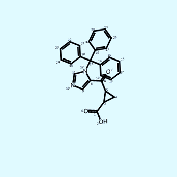 O=C(O)C1CC1C(=O)c1cncn1C(c1ccccc1)(c1ccccc1)c1ccccc1